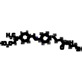 CN(CC(=O)O)c1ccc(/C=C/c2cc[n+](CCCC(=O)NCCS)cc2)cc1